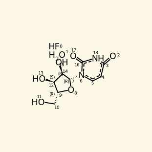 F.O.O=c1ccn([C@@H]2O[C@H](CO)[C@@H](O)[C@H]2O)c(=O)[nH]1